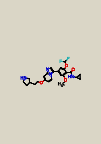 COc1cc(-c2cnc3cc(OCCC4CCNC4)ccn23)cc(OC(F)F)c1C(=O)NC1CC1